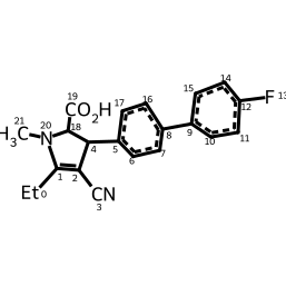 CCC1=C(C#N)C(c2ccc(-c3ccc(F)cc3)cc2)C(C(=O)O)N1C